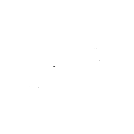 COc1ccc(C[C@@H]2CCC[C@@H](Cc3ccc(OC)c(OC)c3)C2=O)cc1OC